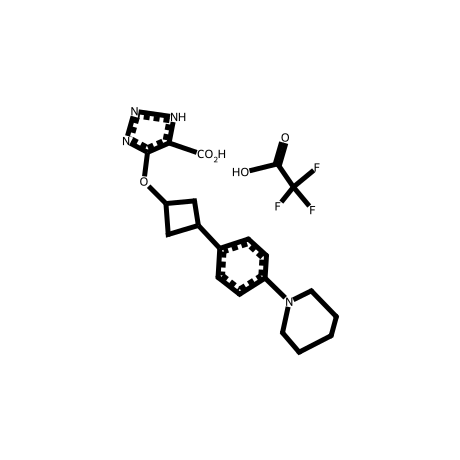 O=C(O)C(F)(F)F.O=C(O)c1[nH]nnc1OC1CC(c2ccc(N3CCCCC3)cc2)C1